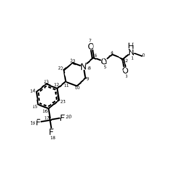 CNC(=O)COC(=O)N1CCC(c2cccc(C(F)(F)F)c2)CC1